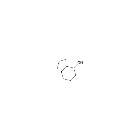 CCC.OC1CCCCC1